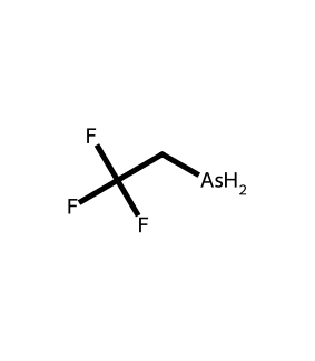 FC(F)(F)C[AsH2]